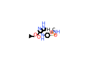 CNS(=O)(=O)C[C@H]1CC[C@H](Nc2c(C(=O)OCC3CC3)cnc3[nH]ccc23)CC1